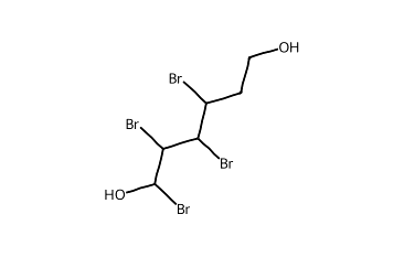 OCCC(Br)C(Br)C(Br)C(O)Br